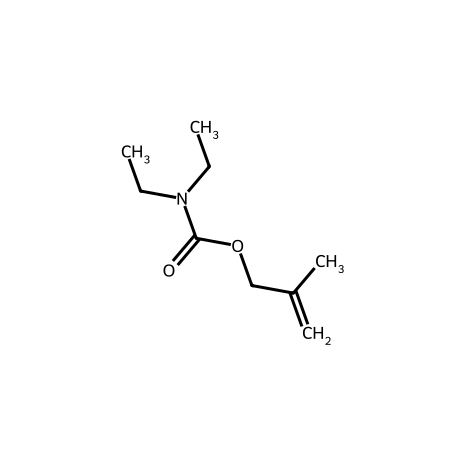 C=C(C)COC(=O)N(CC)CC